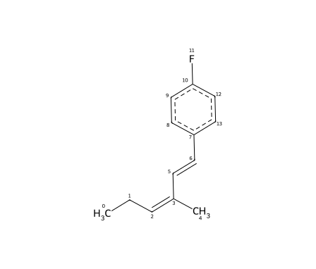 CC/C=C(C)\C=C\c1ccc(F)cc1